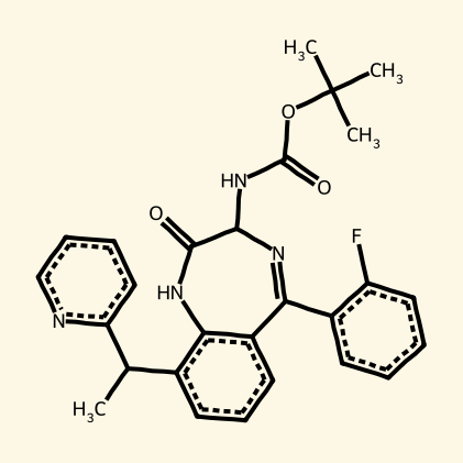 CC(c1ccccn1)c1cccc2c1NC(=O)C(NC(=O)OC(C)(C)C)N=C2c1ccccc1F